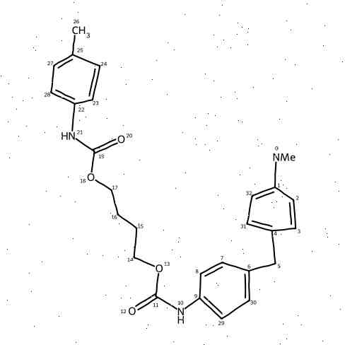 CNc1ccc(Cc2ccc(NC(=O)OCCCCOC(=O)Nc3ccc(C)cc3)cc2)cc1